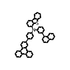 c1cc(-c2cccc3ccccc23)cc(N(c2ccc(-c3ccc4c5ccccc5c5ccccc5c4c3)cc2)c2cccc3c2sc2ccccc23)c1